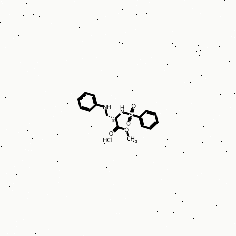 COC(=O)[C@H](CNc1ccccc1)NS(=O)(=O)c1ccccc1.Cl